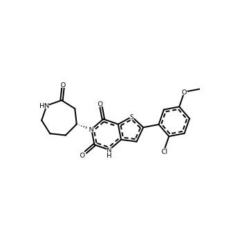 COc1ccc(Cl)c(-c2cc3[nH]c(=O)n([C@@H]4CCCNC(=O)C4)c(=O)c3s2)c1